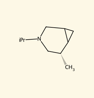 CC(C)N1CC2CC2[C@H](C)C1